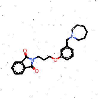 O=C1c2ccccc2C(=O)N1CCCOc1cccc(CN2CCCCCC2)c1